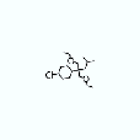 CCOCC(COCC)(CC(C)C)C1CCC(Cl)CC1